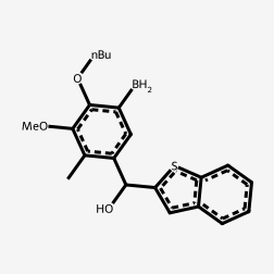 Bc1cc(C(O)c2cc3ccccc3s2)c(C)c(OC)c1OCCCC